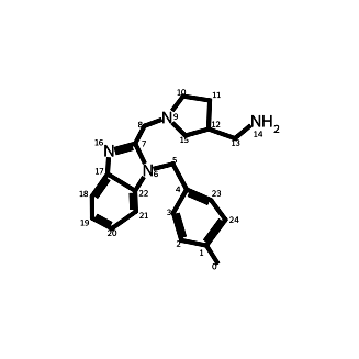 Cc1ccc(Cn2c(CN3CCC(CN)C3)nc3ccccc32)cc1